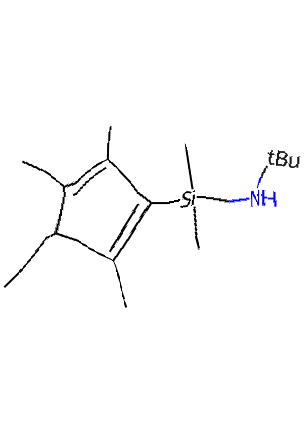 CC1=C(C)C(C)C(C)=C1[Si](C)(C)NC(C)(C)C